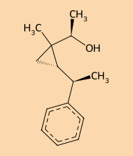 C[C@@H](c1ccccc1)[C@@H]1CC1(C)[C@@H](C)O